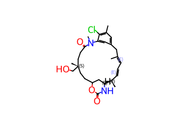 C/C1=C\C=C\[C@@H](C)[C@H]2CC(CC[C@](C)(CO)CCC(=O)N(C)c3cc(cc(C)c3Cl)C1)OC(=O)N2